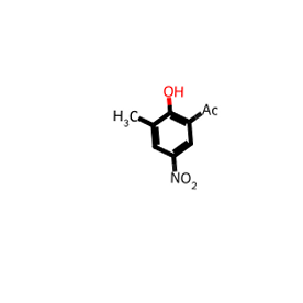 CC(=O)c1cc([N+](=O)[O-])cc(C)c1O